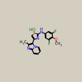 COc1c(F)cc(Nc2nc(-c3c(C)nc4ccccn34)cs2)cc1F.Cl